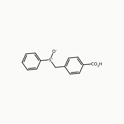 O=C(O)c1ccc(C[S+]([O-])c2ccccc2)cc1